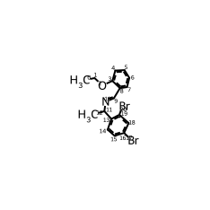 CCOc1ccccc1/C=N/C(C)c1ccc(Br)cc1Br